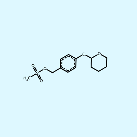 CS(=O)(=O)OCc1ccc(OC2CCCCO2)cc1